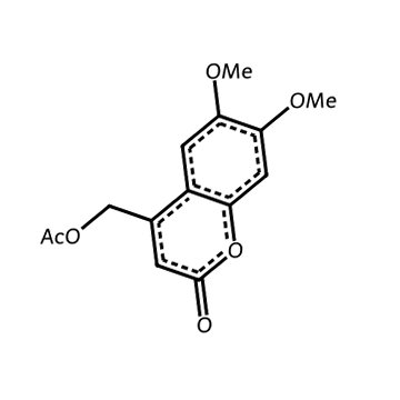 COc1cc2oc(=O)cc(COC(C)=O)c2cc1OC